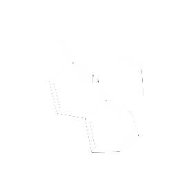 CCI.Cc1ccc2ccccc2n1